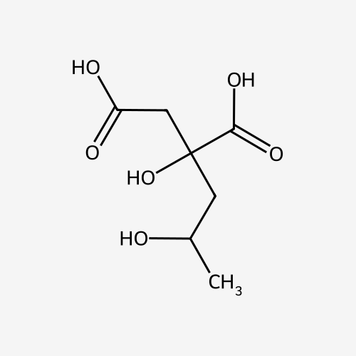 CC(O)CC(O)(CC(=O)O)C(=O)O